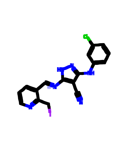 N#Cc1c(Nc2cccc(Cl)c2)n[nH]c1/N=C/c1cccnc1CI